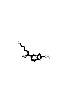 Cc1cn2cc(C(CCCCCl)=S=O)ccc2n1